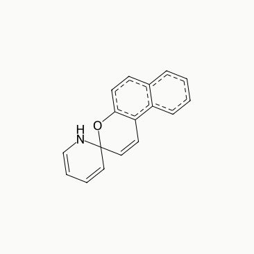 C1=CNC2(C=C1)C=Cc1c(ccc3ccccc13)O2